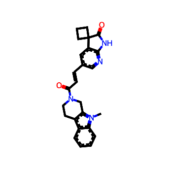 Cn1c2c(c3ccccc31)CCN(C(=O)C=Cc1cnc3c(c1)C1(CCC1)C(=O)N3)C2